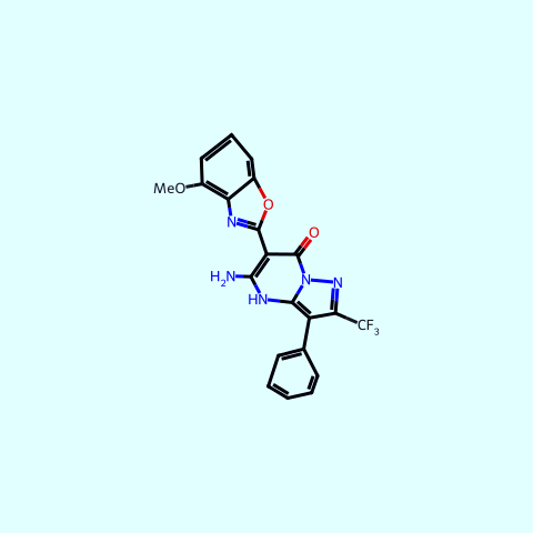 COc1cccc2oc(-c3c(N)[nH]c4c(-c5ccccc5)c(C(F)(F)F)nn4c3=O)nc12